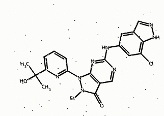 CCn1c(=O)c2cnc(Nc3cc(Cl)c4[nH]ncc4c3)nc2n1-c1cccc(C(C)(C)O)n1